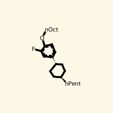 CCCCCCCCOc1ccc([C@H]2CC[C@H](CCCCC)CC2)cc1F